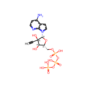 C#C[C@@]1(O)[C@H](O)[C@@H](COP(=O)(O)OP(=O)(O)OP(=O)(O)O)O[C@H]1n1ccc2c(N)ccnc21